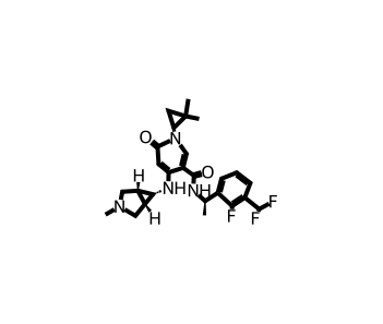 C[C@@H](NC(=O)c1cn([C@H]2CC2(C)C)c(=O)cc1N[C@@H]1[C@@H]2CN(C)C[C@@H]21)c1cccc(C(F)F)c1F